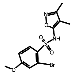 COc1ccc(S(=O)(=O)Nc2onc(C)c2C)c(Br)c1